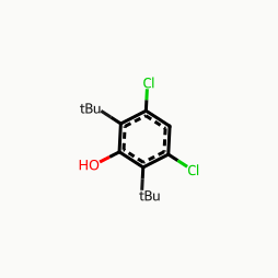 CC(C)(C)c1c(Cl)cc(Cl)c(C(C)(C)C)c1O